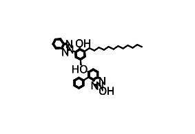 CCCCCCCCCCCCc1cc(C)cc(-n2nc3ccccc3n2)c1O.Oc1ccc2nn(O)nc2c1-c1ccccc1